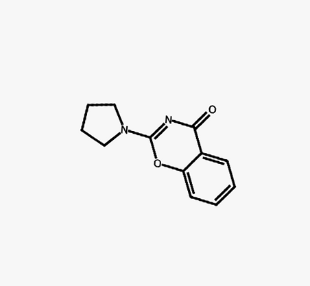 O=c1nc(N2CCCC2)oc2ccccc12